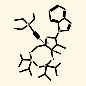 CC[Si](C#C[C@@]12CO[Si](C(C)C)(C(C)C)O[Si](C(C)C)(C(C)C)O[C@H]1C(I)C(n1cnc3ncncc31)S2)(CC)CC